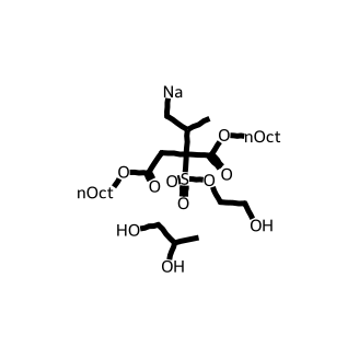 CC(O)CO.CCCCCCCCOC(=O)CC(C(=O)OCCCCCCCC)(C(C)[CH2][Na])S(=O)(=O)OCCO